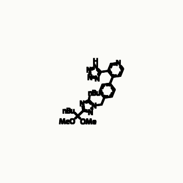 CCCCc1nc(C(CCCC)(OC)OC)nn1Cc1ccc(-c2ccncc2-c2nnn[nH]2)cc1